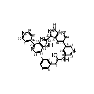 OC(Cc1ccccc1)Nc1cncc(-c2cnc3[nH]nc(-c4nc5c(-c6ccncc6)nccc5[nH]4)c3c2)c1